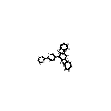 c1ccc(-c2ccc(-c3c4oc5ccccc5c4cc4c3oc3ccccc34)cn2)nc1